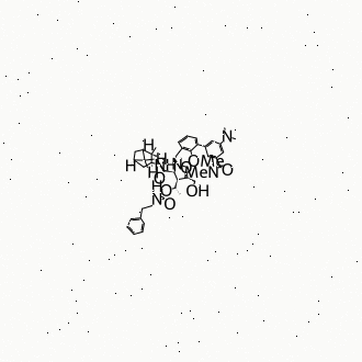 CNC(=O)c1cc(-c2cccc(CN3O[C@@H](CO)[C@@H]([C@H](C)OC(=O)NCCc4ccccc4)[C@H]3C(=O)N[C@H]3C[C@H]4C[C@@H]([C@@H]3C)C4(C)C)c2OC)cc(N(C)C)c1